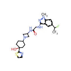 Cn1nc(NCC(=O)NC2CN(C3CCC(O)(c4nccs4)CC3)C2)c2cc(C(F)C(F)(F)F)ccc21